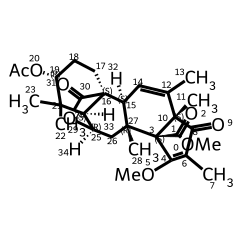 COC(=O)[C@]12C(OC)=C(C)C(=O)[C@@]1(C)C(C)=C[C@@H]1[C@@]34CC[C@@H](OC(C)=O)C(C)(C)[C@@H]3[C@@H](C[C@]12C)OC4=O